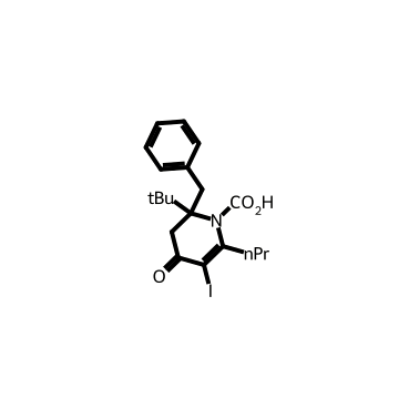 CCCC1=C(I)C(=O)CC(Cc2ccccc2)(C(C)(C)C)N1C(=O)O